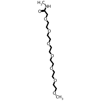 CNC(=O)COCCOCCOCCOCCOCCOCCOC